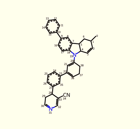 CC1C=CC2C(C1)c1cc(-c3ccccc3)ccc1N2C1=CC(c2cccc(C3CC=NC=C3C#N)c2)=CCC1